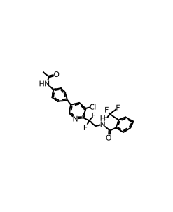 CC(=O)Nc1ccc(-c2cnc(C(F)(F)CNC(=O)c3ccccc3C(F)(F)F)c(Cl)c2)cc1